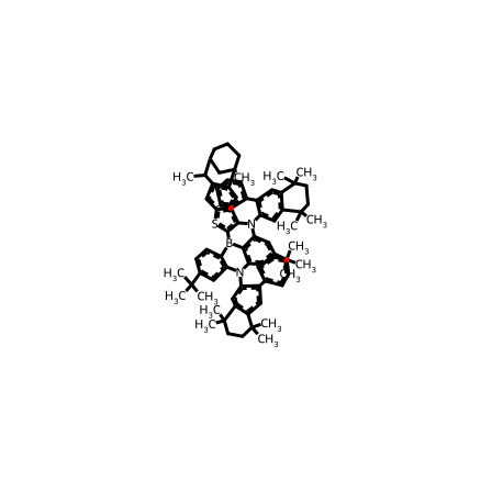 CC1c2cc3sc4c(c3cc2C2(C)CCCC1C2)N(c1cc2c(cc1-c1ccccc1)C(C)(C)CCC2(C)C)c1cc(C(C)(C)C)cc2c1B4c1ccc(C(C)(C)C)cc1N2c1cc2c(cc1-c1ccccc1)C(C)(C)CCC2(C)C